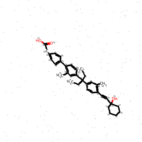 CCC(CC)(c1ccc(C#CC2(O)CCCCC2)c(C)c1)c1ccc(-c2ccc(CC(=O)O)cc2)c(C)c1